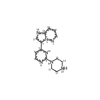 c1cnn2c(-c3ccnc(N4CCNCC4)n3)cnc2c1